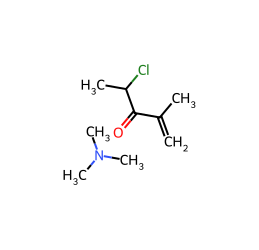 C=C(C)C(=O)C(C)Cl.CN(C)C